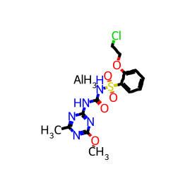 COc1nc(C)nc(NC(=O)NS(=O)(=O)c2ccccc2OCCCl)n1.[AlH3]